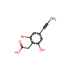 CC#Cc1cc(O)c(CC(=O)O)c(Br)c1